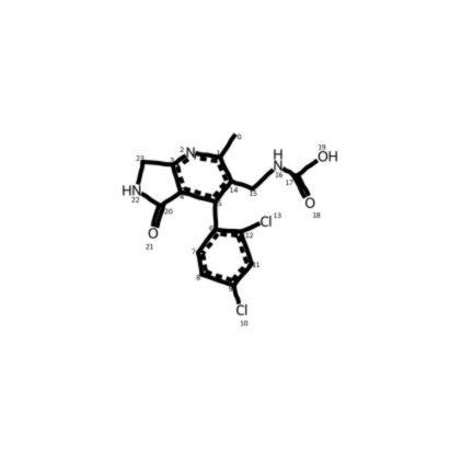 Cc1nc2c(c(-c3ccc(Cl)cc3Cl)c1CNC(=O)O)C(=O)NC2